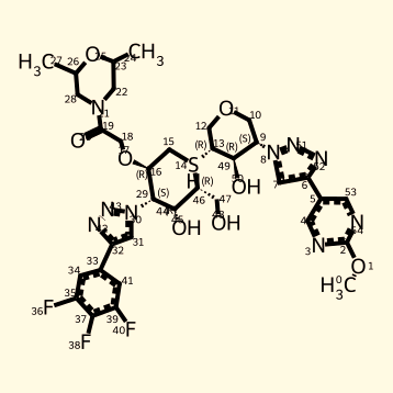 COc1ncc(-c2cn([C@H]3COC[C@@H]([SH]4C[C@H](OCC(=O)N5CC(C)OC(C)C5)[C@@H](n5cc(-c6cc(F)c(F)c(F)c6)nn5)[C@@H](O)[C@H]4CO)[C@@H]3O)nn2)cn1